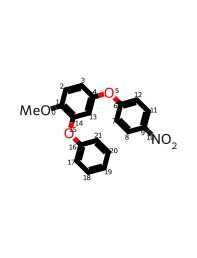 COc1ccc(Oc2ccc([N+](=O)[O-])cc2)cc1Oc1ccccc1